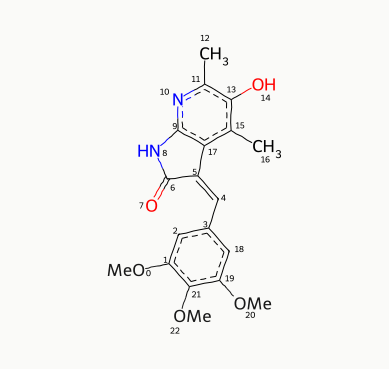 COc1cc(/C=C2\C(=O)Nc3nc(C)c(O)c(C)c32)cc(OC)c1OC